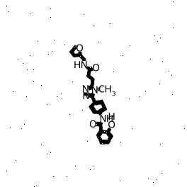 Cn1c(CCC(=O)NCC2CCCO2)nnc1-c1ccc(NC(=O)c2ccccc2O)cc1